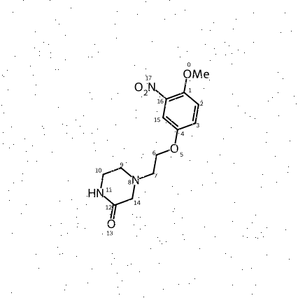 COc1ccc(OCCN2CCNC(=O)C2)cc1[N+](=O)[O-]